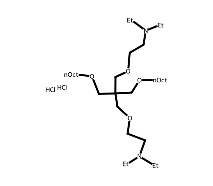 CCCCCCCCOCC(COCCCCCCCC)(COCCN(CC)CC)COCCN(CC)CC.Cl.Cl